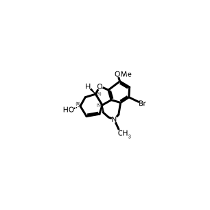 COc1cc(Br)c2c3c1O[C@H]1C[C@@H](O)C=C[C@@]31CCN(C)C2